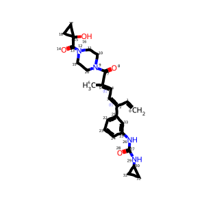 C=C/C(=C\C=C(/C)C(=O)N1CCN(C(=O)C2(O)CC2)CC1)c1cccc(NC(=O)NC2CC2)c1